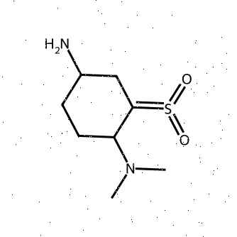 CN(C)C1CCC(N)CC1=S(=O)=O